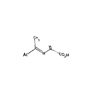 CC(=O)/C(C)=N/NC(=O)O